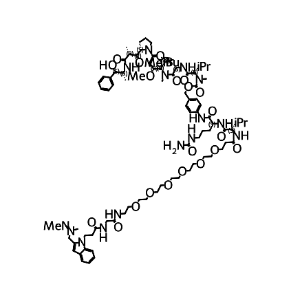 CC[C@H](C)[C@@H]([C@@H](CC(=O)N1CCC[C@H]1[C@H](OC)[C@@H](C)C(=O)N[C@H](C)[C@@H](O)c1ccccc1)OC)N(C)C(=O)[C@@H](NC(=O)[C@H](C(C)C)N(C)C(=O)OCc1ccc(NC(=O)[C@H](CCCNC(N)=O)NC(=O)[C@@H](NC(=O)CCOCCOCCOCCOCCOCCOCCNC(=O)CNC(=O)CCn2c(CN(C)NC)cc3ccccc32)C(C)C)cc1)C(C)C